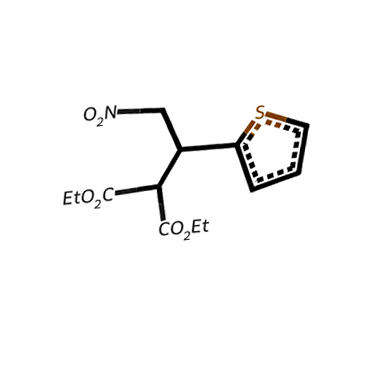 CCOC(=O)C(C(=O)OCC)C(C[N+](=O)[O-])c1cccs1